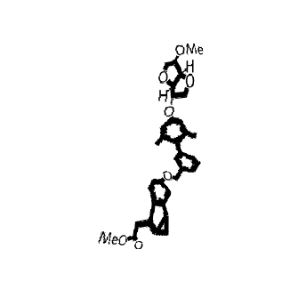 COC(=O)CC1c2ccc(OCc3cccc(-c4c(C)cc(O[C@H]5CO[C@H]6[C@@H]5OC[C@H]6OC)cc4C)c3)cc2C2CC12